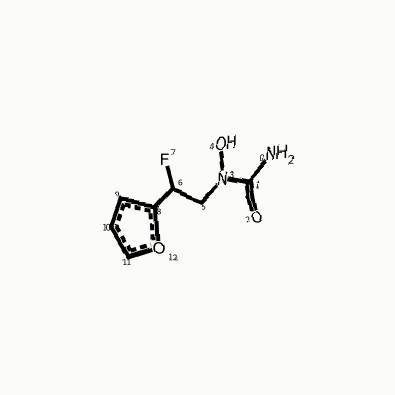 NC(=O)N(O)CC(F)c1ccco1